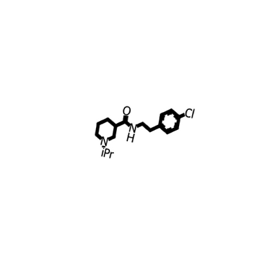 CC(C)N1CCCC(C(=O)NCCc2ccc(Cl)cc2)C1